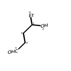 [CH2]CC(O)CCC=O